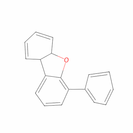 C1=CC2Oc3c(-c4ccccc4)cccc3C2C=C1